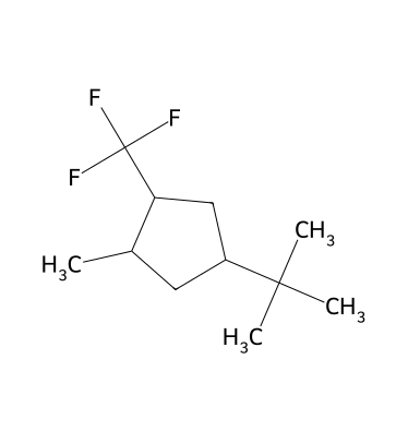 CC1CC(C(C)(C)C)CC1C(F)(F)F